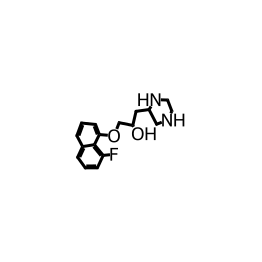 OC(COc1cccc2cccc(F)c12)CC1CNCCN1